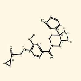 COc1nc(C(=O)N2CCC3(c4cccc(F)c4)OCOC3C2)ccc1OCC(=O)C1CC1